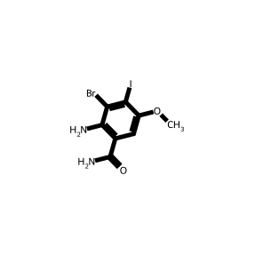 COc1cc(C(N)=O)c(N)c(Br)c1I